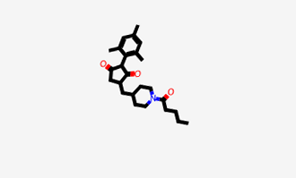 CCCCC(=O)N1CCC(CC2CC(=O)C(c3c(C)cc(C)cc3C)C2=O)CC1